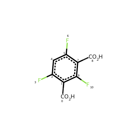 O=C(O)c1c(F)cc(F)c(C(=O)O)c1F